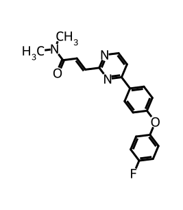 CN(C)C(=O)C=Cc1nccc(-c2ccc(Oc3ccc(F)cc3)cc2)n1